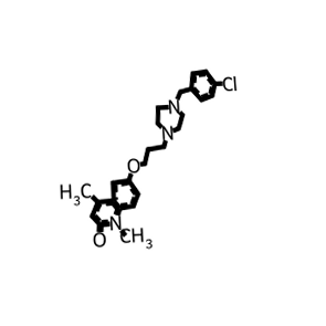 Cc1cc(=O)n(C)c2ccc(OCCCN3CCN(Cc4ccc(Cl)cc4)CC3)cc12